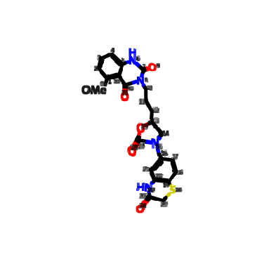 COc1cccc2[nH]c(=O)n(CCCC3CN(c4ccc5c(c4)NC(=O)CS5)C(=O)O3)c(=O)c12